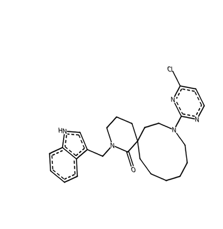 O=C1N(Cc2c[nH]c3ccccc23)CCCC12CCCCCCN(c1nccc(Cl)n1)CC2